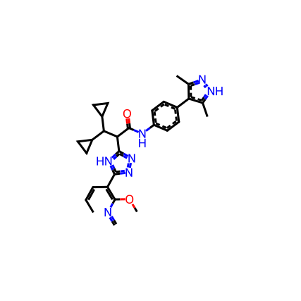 C=N/C(OC)=C(\C=C/C)c1nnc(C(C(=O)Nc2ccc(-c3c(C)n[nH]c3C)cc2)C(C2CC2)C2CC2)[nH]1